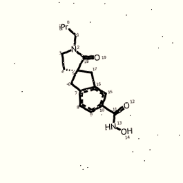 CC(C)CN1CC[C@]2(Cc3ccc(C(=O)NO)cc3C2)C1=O